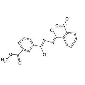 COC(=O)c1cccc(/C(Cl)=N/N=C(\Cl)c2ccccc2[N+](=O)[O-])c1